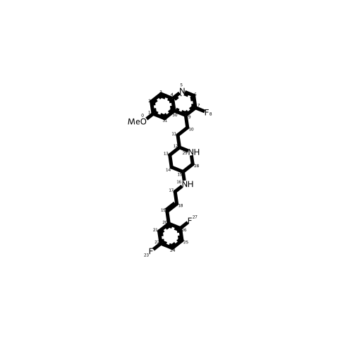 COc1ccc2ncc(F)c(CCC3CCC(NCC=Cc4cc(F)ccc4F)CN3)c2c1